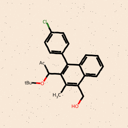 CC(=O)C(OC(C)(C)C)c1c(C)c(CO)c2ccccc2c1-c1ccc(Cl)cc1